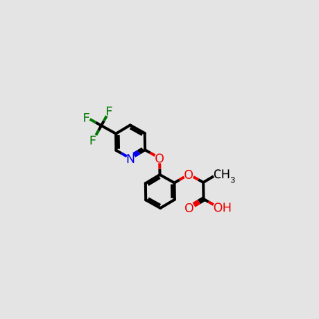 CC(Oc1ccccc1Oc1ccc(C(F)(F)F)cn1)C(=O)O